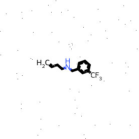 C=CCCNCc1cccc(C(F)(F)F)c1